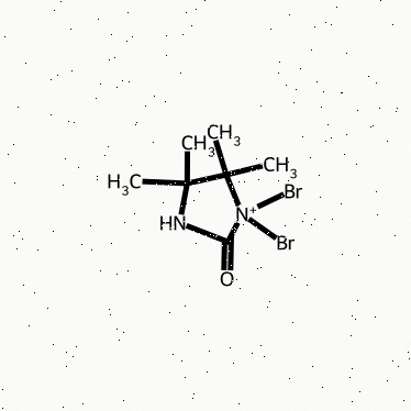 CC1(C)NC(=O)[N+](Br)(Br)C1(C)C